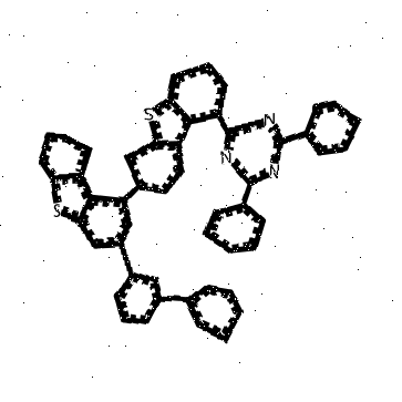 c1ccc(-c2cccc(-c3cc(-c4ccc5c(c4)sc4cccc(-c6nc(-c7ccccc7)nc(-c7ccccc7)n6)c45)c4c(c3)sc3ccccc34)c2)cc1